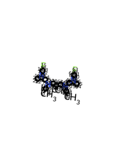 Cc1ccc(N(C2=Cc3c(n(-c4ccc(F)cc4)c4ccccc34)CC2)c2ccc3c(c2)C(C)(C)c2cc(N(c4ccc(C)cc4)c4ccc5c(c4)c4ccccc4n5-c4ccc(F)cc4)ccc2-3)cc1